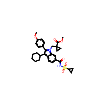 COC(=O)C1(Cn2c(-c3ccc(OC)cc3)c(C3CCCCC3)c3ccc(C(=O)NS(=O)(=O)C4CC4)cc32)CC1